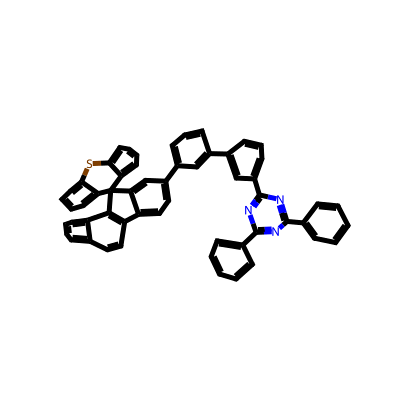 c1ccc(-c2nc(-c3ccccc3)nc(-c3cccc(-c4cccc(-c5ccc6c(c5)C5(c7ccccc7Sc7ccccc75)c5c-6ccc6ccccc56)c4)c3)n2)cc1